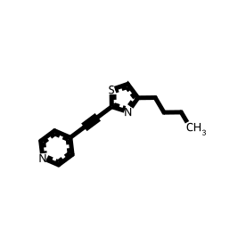 CCCCc1[c]sc(C#Cc2ccncc2)n1